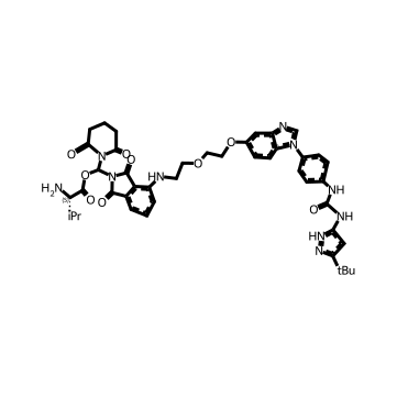 CC(C)[C@H](N)C(=O)OC(N1C(=O)CCCC1=O)N1C(=O)c2cccc(NCCOCCOc3ccc4c(c3)ncn4-c3ccc(NC(=O)Nc4cc(C(C)(C)C)n[nH]4)cc3)c2C1=O